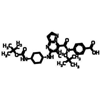 Cc1c(N[C@H]2CC[C@H](NC(=O)OC(C)(C)C)CC2)nc2ccnn2c1C(=O)N(OC(C)(C)C)c1ccc(C(=O)O)cc1